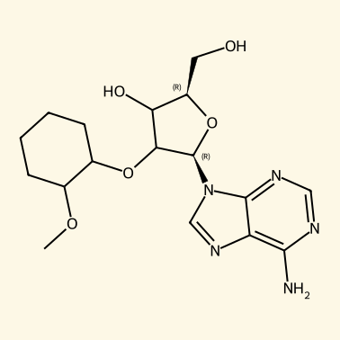 COC1CCCCC1OC1C(O)[C@@H](CO)O[C@H]1n1cnc2c(N)ncnc21